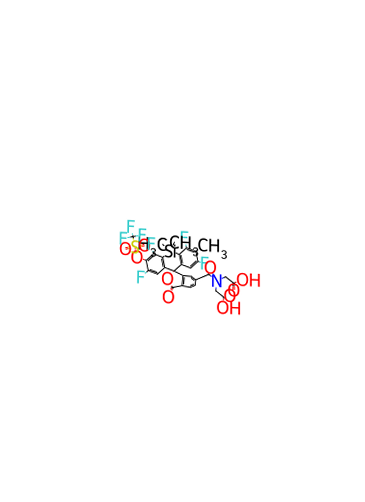 Cc1c(F)cc2c(c1F)[Si](C)(C)c1c(cc(F)c(OS(=O)(=O)C(F)(F)F)c1F)C21OC(=O)c2ccc(C(=O)N(CC(=O)O)CC(=O)O)cc21